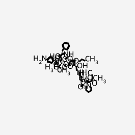 CCCCO[C@@H]1[C@@H](OC(=O)N[C@@H](Cc2ccccc2)[C@H](O)CN(CC(C)C)S(=O)(=O)c2ccc(N)cc2)[C@@H](OC)O[C@@H]1C(O)CNCCCOC(=O)[C@H]1CCCCN1C(=O)C(=O)C(C)(C)CC